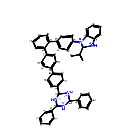 CC(C)C1Nc2ccccc2N1c1ccc(-c2ccccc2-c2ccc(-c3ccc(C4NC(c5ccccc5)NC(c5ccccc5)N4)cc3)cc2)cc1